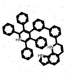 C1=CC(c2cccc(-c3cccc(C4=C(c5ccccc5)C(c5ccccc5)NC(c5ccccc5)=C4c4ccccc4)c3)c2)Nc2c1ccc1cc[nH]c21